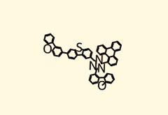 c1ccc2c(c1)oc1ccc(-c3ccc4c(c3)sc3ccc(-c5nc(-c6cccc7oc8ccccc8c67)nc(-c6cccc7c8ccccc8c8ccccc8c67)n5)cc34)cc12